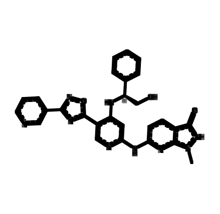 Cn1[nH]c(=O)c2ccc(Nc3cc(N[C@H](CO)c4ccccc4)c(-c4nc(-c5cccnc5)no4)cn3)nc21